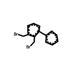 BrCc1cccc(-c2ccccc2)c1CBr